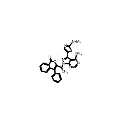 CC(=O)Nc1ncc(-c2nn(C(C)c3oc(=O)c4ccccc4c3-c3ccccc3)c3ncnc(N)c23)s1